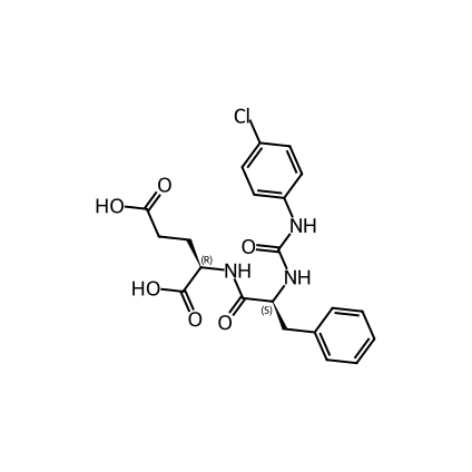 O=C(O)CC[C@@H](NC(=O)[C@H](Cc1ccccc1)NC(=O)Nc1ccc(Cl)cc1)C(=O)O